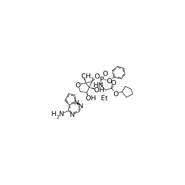 CC[C@H](N[P@@](=O)(Oc1ccccc1)OC1[C@@]2(C)O[C@@H](c3ccc4c(N)ncnn34)[C@H](O)[C@@]12O)C(=O)OC1CCCC1